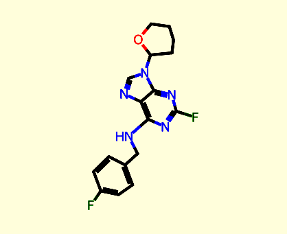 Fc1ccc(CNc2nc(F)nc3c2ncn3C2CCCCO2)cc1